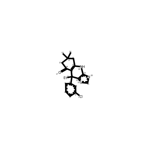 CCC1(c2cccc(Cl)c2)C2=C(CC(C)(C)CC2=O)Nc2ncsc21